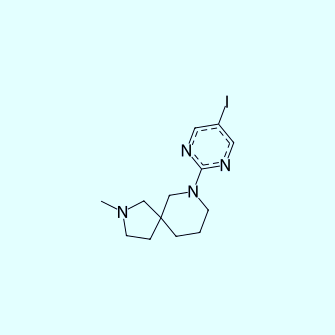 CN1CCC2(CCCN(c3ncc(I)cn3)C2)C1